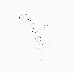 CC(C)c1ccccc1[C@H]1CCCN1C1CC2(CCN(c3ccc(C(=O)NS(=O)(=O)c4cc([N+](=O)[O-])c5c(n4)OC[C@H]([C@H]4CC[C@@](C)(O)CC4)N5)c(Oc4cnc5[nH]ccc5c4)c3)CC2)C1